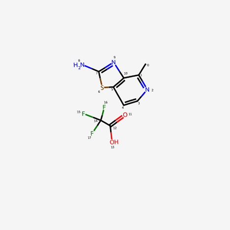 Cc1nccc2sc(N)nc12.O=C(O)C(F)(F)F